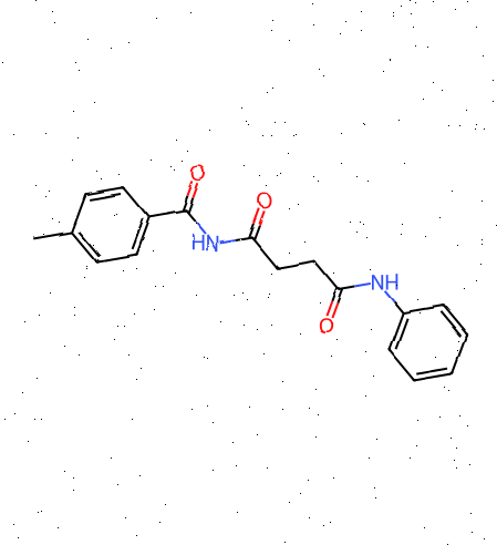 Cc1ccc(C(=O)NC(=O)CCC(=O)Nc2ccccc2)cc1